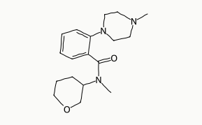 CN1CCN(c2ccccc2C(=O)N(C)C2CCCOC2)CC1